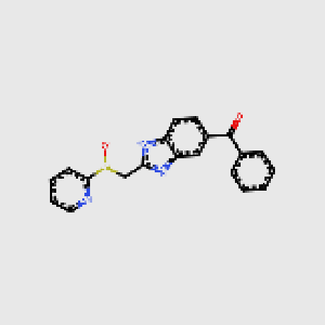 O=C(c1ccccc1)c1ccc2[nH]c(C[S+]([O-])c3ccccn3)nc2c1